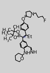 CC/C(=C(/B1OC(C)(C)C(C)(C)O1)c1ccc(NC2CCCCO2)c(C=N)c1)c1ccc(O[C@H]2CCN(CCCF)C2)cc1